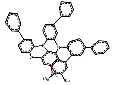 Cc1cc2c3c(c1)N(c1ccc(-c4ccccc4)cc1-c1ccc(C(C)(C)C)c(C(C)(C)C)c1)c1cc(-c4ccccc4)ccc1B3c1cc(-c3ccccc3)ccc1O2